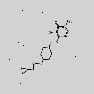 CC(C)(C)n1ncc(SCC2CCC(COCC3CC3)CC2)c(Cl)c1=O